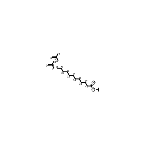 C=C(C)C.C=C(C)C.CCCCCCCCCCCC(=O)O